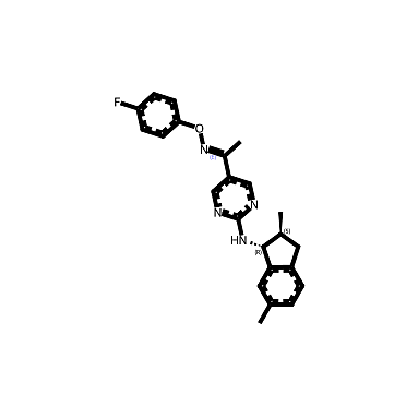 C/C(=N\Oc1ccc(F)cc1)c1cnc(N[C@H]2c3cc(C)ccc3C[C@@H]2C)nc1